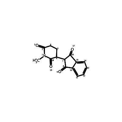 CN1C(=O)CCC(C2C(=O)c3ccccc3C2=O)C1=O